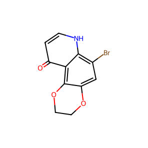 O=c1cc[nH]c2c(Br)cc3c(c12)OCCO3